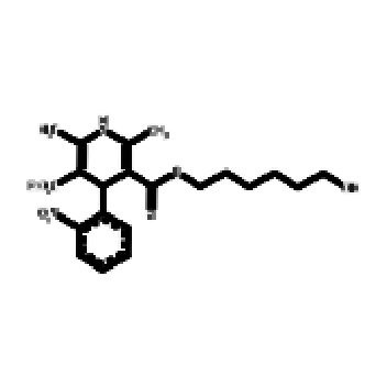 CCOC(=O)C1=C(C)NC(C)=C(C(=O)OCCCCCCO)C1c1ccccc1[N+](=O)[O-]